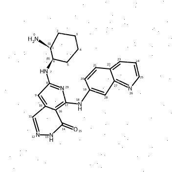 N[C@H]1CCCC[C@H]1Nc1cc2cn[nH]c(=O)c2c(Nc2ccc3cccnc3c2)n1